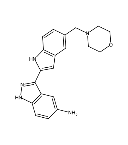 Nc1ccc2[nH]nc(-c3cc4cc(CN5CCOCC5)ccc4[nH]3)c2c1